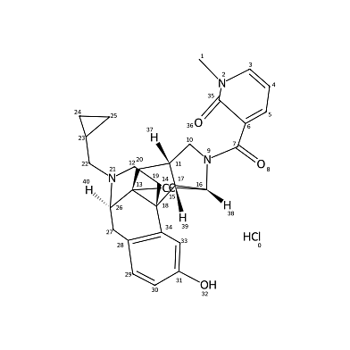 Cl.Cn1cccc(C(=O)N2C[C@H]3C[C@@]45CC[C@@H]2[C@@H]3[C@@]42CCN(CC3CC3)[C@@H]5Cc3ccc(O)cc32)c1=O